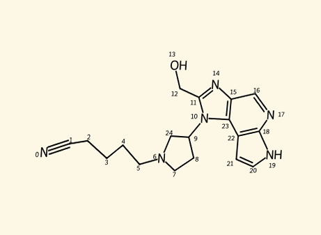 N#CCCCCN1CCC(n2c(CO)nc3cnc4[nH]ccc4c32)C1